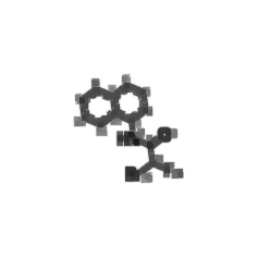 O=C(Nc1cccc2ccccc12)C(F)Br